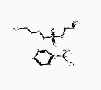 C=CCOS(=O)(=O)CCCCC.CC(C)c1ccccc1